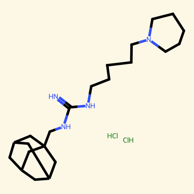 Cl.Cl.N=C(NCCCCCN1CCCCC1)NCC12CC3CC(CC(C3)C1)C2